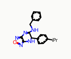 CC(C)c1ccc(C2Nc3nonc3N=C2NCc2ccccc2)cc1